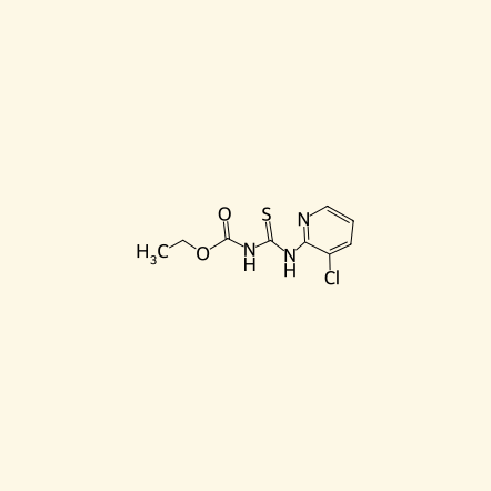 CCOC(=O)NC(=S)Nc1ncccc1Cl